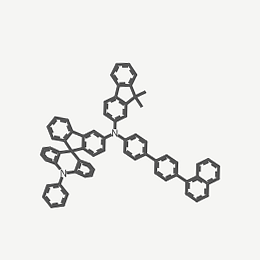 CC1(C)c2ccccc2-c2ccc(N(c3ccc(-c4ccc(-c5cccc6ccccc56)cc4)cc3)c3ccc4c(c3)-c3ccccc3C43c4ccccc4N(c4ccccc4)c4ccccc43)cc21